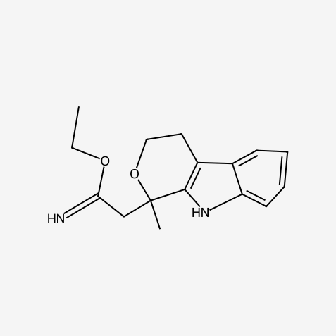 CCOC(=N)CC1(C)OCCc2c1[nH]c1ccccc21